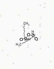 CCCCCCCCCCc1c(-c2ccccc2)n[nH]c1-c1cccc(-c2[nH]nc(-c3ccccc3)c2CCCCCCCCCC)c1